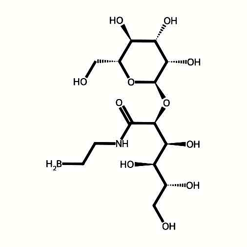 BCCNC(=O)[C@@H](O[C@H]1O[C@H](CO)[C@@H](O)[C@H](O)[C@@H]1O)[C@@H](O)[C@H](O)[C@H](O)CO